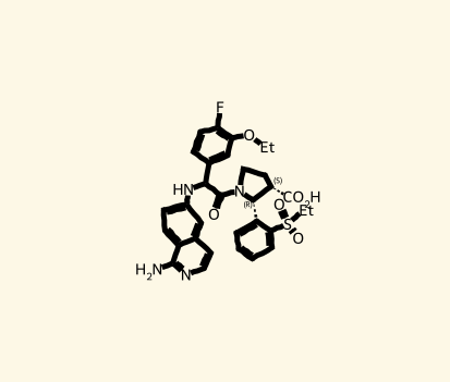 CCOc1cc(C(Nc2ccc3c(N)nccc3c2)C(=O)N2CC[C@H](C(=O)O)[C@@H]2c2ccccc2S(=O)(=O)CC)ccc1F